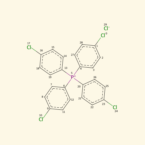 Clc1ccc([P+](c2ccc(Cl)cc2)(c2ccc(Cl)cc2)c2ccc(Cl)cc2)cc1.[Cl-]